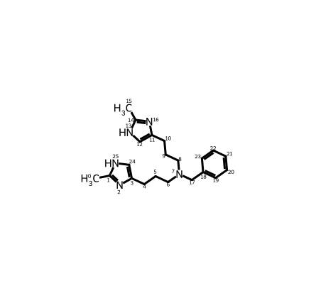 Cc1nc(CCCN(CCCc2c[nH]c(C)n2)Cc2ccccc2)c[nH]1